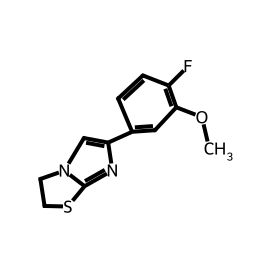 COc1cc(-c2cn3c(n2)SCC3)ccc1F